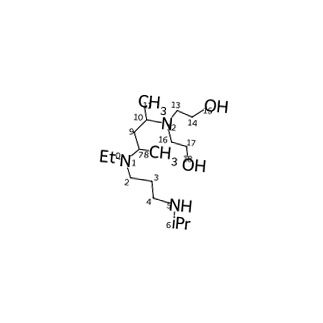 CCN(CCCNC(C)C)C(C)CC(C)N(CCO)CCO